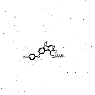 CCOC(=O)Oc1ncc2[nH]c3ccc(Oc4ccc(Br)cc4)cc3c2c1COC